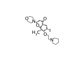 Cc1c(OCCN2CCCCC2)c(I)cc2c(=O)cc(N3CCOCC3)oc12